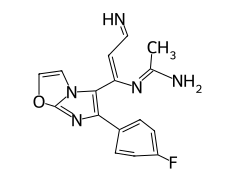 C/C(N)=N\C(=C/C=N)c1c(-c2ccc(F)cc2)nc2occn12